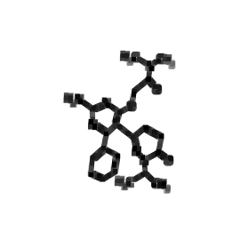 CC(C)n1nc(-c2c(OCC(=O)N(C)C)nc(N)nc2-c2ccccc2)ccc1=O